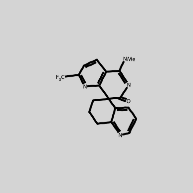 CNC1=NC(=O)C2(CCCc3ncccc32)c2nc(C(F)(F)F)ccc21